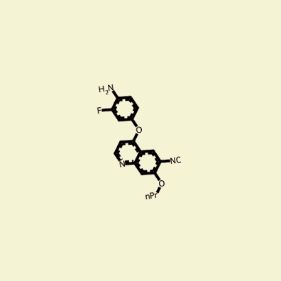 [C-]#[N+]c1cc2c(Oc3ccc(N)c(F)c3)ccnc2cc1OCCC